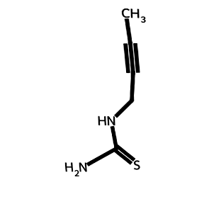 CC#CCNC(N)=S